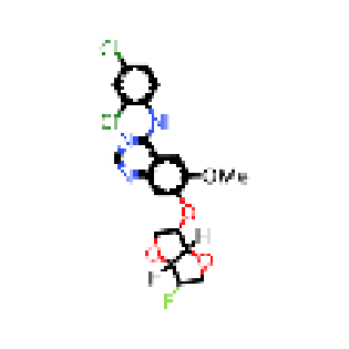 COc1cc2c(Nc3ccc(Cl)cc3Cl)ncnc2cc1O[C@@H]1CO[C@@H]2[C@H]1OC[C@H]2F